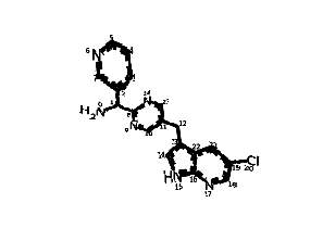 NC(c1cccnc1)c1ncc(Cc2c[nH]c3ncc(Cl)cc23)cn1